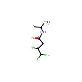 CC(NC(=O)CC(F)C(F)F)C(=O)O